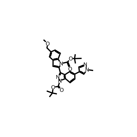 COCc1ccc2c(c1)cc(-c1nn(C(=O)OC(C)(C)C)c3ccc(-c4cnn(C)c4)cc13)n2C(=O)OC(C)(C)C